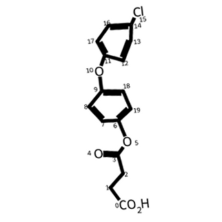 O=C(O)CCC(=O)Oc1ccc(Oc2ccc(Cl)cc2)cc1